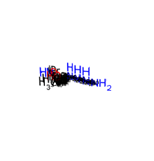 CC(C)NC(=O)CC[C@@H](C)C1CCC2C3CCC4C[C@@H](NCCCNCCCNCCCN)CC[C@]4(C)C3C[C@H](O)[C@@]21C